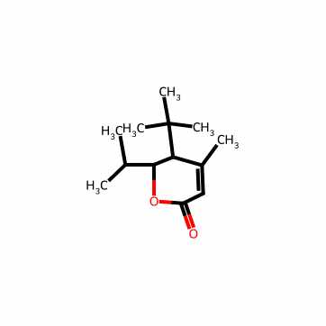 CC1=CC(=O)OC(C(C)C)C1C(C)(C)C